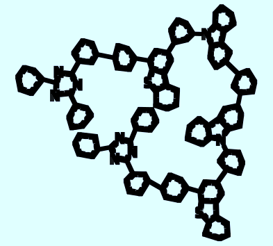 c1ccc(-c2nc(-c3ccccc3)nc(-c3cccc(-c4ccc(-c5cc(-c6cccc(-n7c8ccccc8c8cc(-c9cccc(-c%10ccc%11c(c%10)c%10ccccc%10n%11-c%10cccc(-c%11cc(-c%12ccc(-c%13cccc(-c%14nc(-c%15ccccc%15)nc(-c%15ccccc%15)n%14)c%13)cc%12)c%12sc%13ccccc%13c%12c%11)c%10)c9)ccc87)c6)cc6c5sc5ccccc56)cc4)c3)n2)cc1